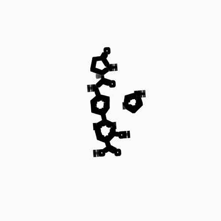 O=C1CC[C@@H](C(=O)Nc2ccc(-c3ncc(C(=O)O)c(O)n3)cc2)N1.c1c[nH]cn1